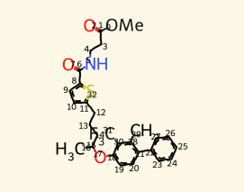 COC(=O)CCNC(=O)c1ccc(CCCC(C)Oc2ccc(-c3ccccc3)c(C)c2C(F)(F)F)s1